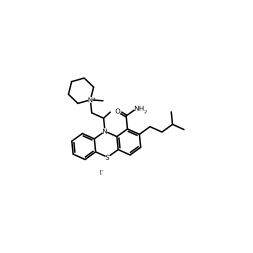 CC(C)CCc1ccc2c(c1C(N)=O)N(C(C)C[N+]1(C)CCCCC1)c1ccccc1S2.[I-]